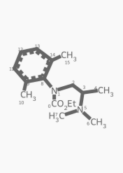 CCOC(=O)N(CC(C)N(C)C)c1c(C)cccc1C